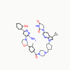 Cc1cc(C(=O)N2CCN(CC3CCC(n4cc(C5CC5)c5cc(N6CCC(=O)NC6=O)cnc54)CC3)CC2)ccc1[C@@H]1CN(c2cc(-c3ccccc3O)nnc2N)CCO1